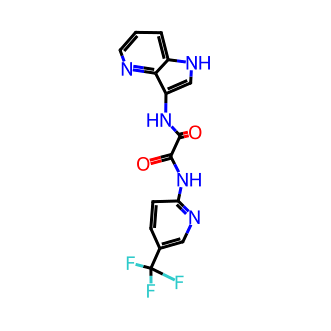 O=C(Nc1ccc(C(F)(F)F)cn1)C(=O)Nc1c[nH]c2cccnc12